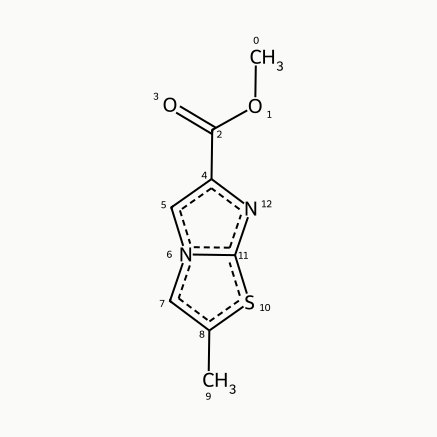 COC(=O)c1cn2cc(C)sc2n1